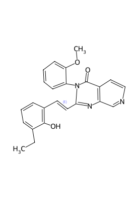 CCc1cccc(/C=C/c2nc3cnccc3c(=O)n2-c2ccccc2OC)c1O